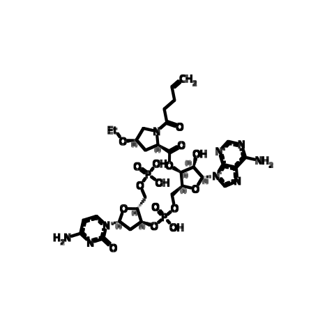 C=CCCC(=O)N1C[C@H](OCC)C[C@@H]1C(=O)O[C@H]1[C@@H](O)[C@H](n2cnc3c(N)ncnc32)O[C@H]1COP(=O)(O)O[C@H]1C[C@H](n2ccc(N)nc2=O)O[C@@H]1COP(=O)(O)O